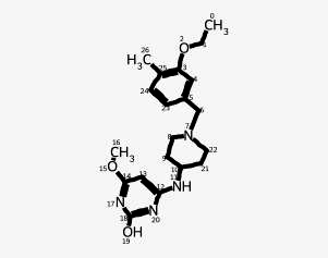 CCOc1cc(CN2CCC(Nc3cc(OC)nc(O)n3)CC2)ccc1C